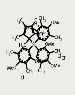 COc1c(C)cc([Si](c2cc(C)c(OC)c(C)c2OC)(c2cc(C)c(OC)c(C)c2OC)C2(C)C(C)=C(C)C(C)=[C]2[Ti+3])c(OC)c1C.[Cl-].[Cl-].[Cl-]